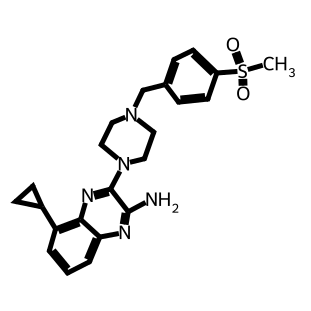 CS(=O)(=O)c1ccc(CN2CCN(c3nc4c(C5CC5)cccc4nc3N)CC2)cc1